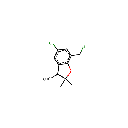 CC1(C)Oc2c(CCl)cc(Cl)cc2C1C=O